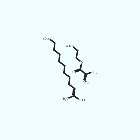 C=C(C)C(=O)OCCCCCCCCCCCC.CCCCCCCCCCCCCCCCCCC=C(C)C(=O)O